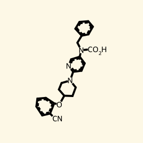 N#Cc1ccccc1OC1CCN(c2ccc(N(Cc3ccccc3)C(=O)O)cn2)CC1